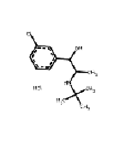 CC(NC(C)(C)C)C(O)c1cccc(Cl)c1.Cl